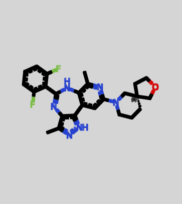 Cc1n[nH]c2c1N=C(c1c(F)cccc1F)Nc1c-2cc(N2CCC[C@@]3(CCOC3)C2)nc1C